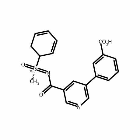 C[S@@](=O)(=NC(=O)c1cncc(-c2cccc(C(=O)O)c2)c1)C1C=CC=CC1